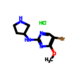 COc1nc(NC2CCNC2)ncc1Br.Cl